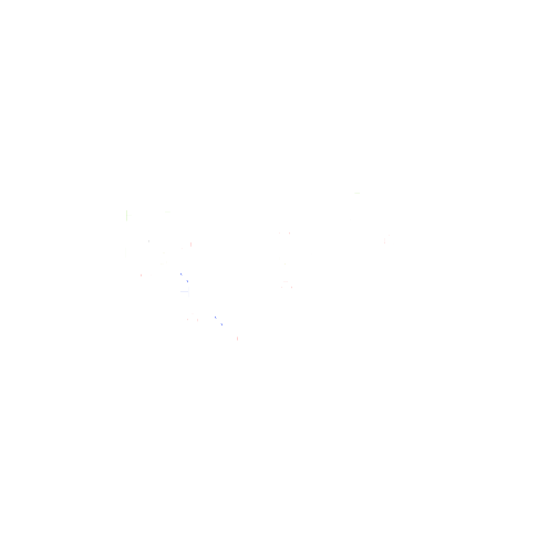 COc1ccc(S(=O)(=O)c2ccc(NS(=O)(=O)C(F)(F)F)c([N+](=O)[O-])c2)cc1F